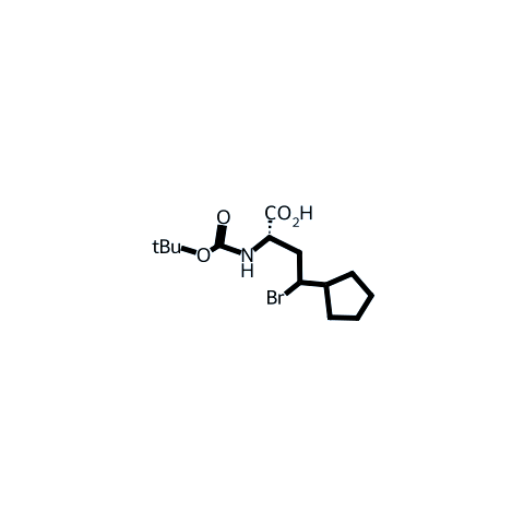 CC(C)(C)OC(=O)N[C@@H](CC(Br)C1CCCC1)C(=O)O